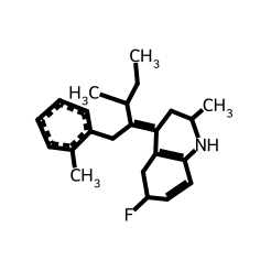 CCC(C)/C(Cc1ccccc1C)=C1\CC(C)NC2=C1CC(F)C=C2